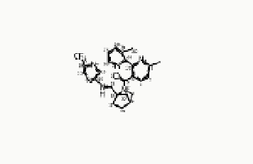 Cc1ccc(C(=O)N2CC3CCC2(CNc2cnc(C(F)(F)F)cn2)C3)c(-c2ncccc2C)n1